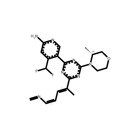 C=N/C=C\C=C(/C)c1nc(-c2cnc(N)cc2C(F)F)nc(N2CCOC[C@H]2C)n1